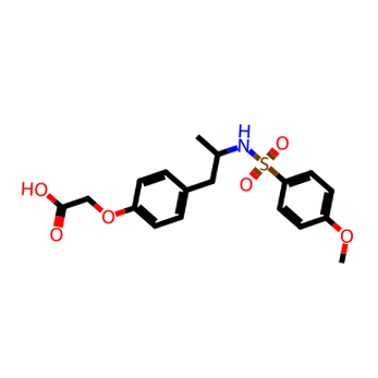 COc1ccc(S(=O)(=O)NC(C)Cc2ccc(OCC(=O)O)cc2)cc1